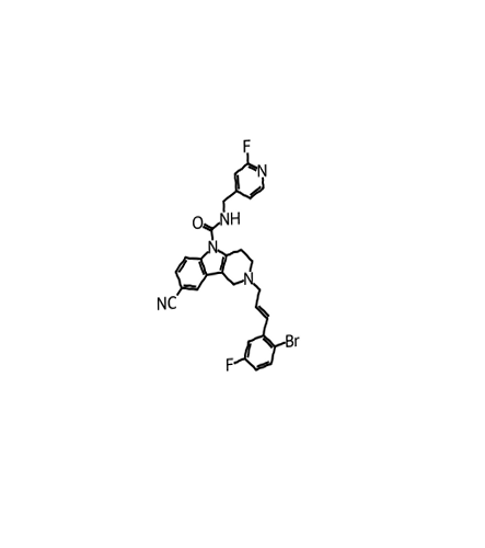 N#Cc1ccc2c(c1)c1c(n2C(=O)NCc2ccnc(F)c2)CCN(CC=Cc2cc(F)ccc2Br)C1